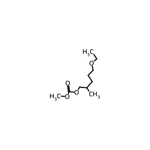 CCOCCCC(C)COC(=O)OC